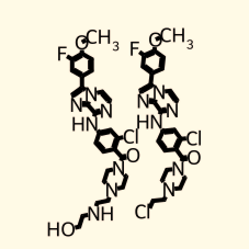 COc1ccc(-c2cnc3c(Nc4ccc(C(=O)N5CCN(CCCl)CC5)c(Cl)c4)nccn23)cc1F.COc1ccc(-c2cnc3c(Nc4ccc(C(=O)N5CCN(CCNCCO)CC5)c(Cl)c4)nccn23)cc1F